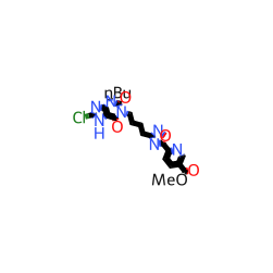 CCCCn1c(=O)n(CCCCc2noc(-c3ccc(C(=O)OC)cn3)n2)c(=O)c2[nH]c(Cl)nc21